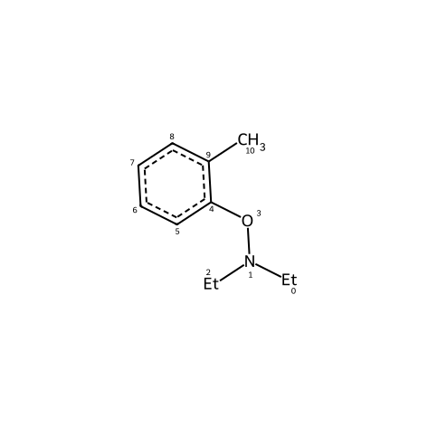 CCN(CC)Oc1ccccc1C